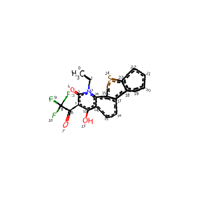 CCn1c(=O)c(C(=O)C(F)(F)F)c(O)c2ccc3c4ccccc4sc3c21